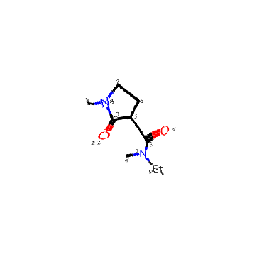 CCN(C)C(=O)C1CCN(C)C1=O